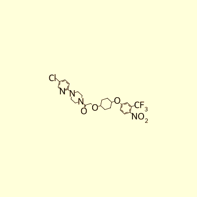 O=C(COC1CCC(Oc2ccc([N+](=O)[O-])c(C(F)(F)F)c2)CC1)N1CCN(c2ccc(Cl)cn2)CC1